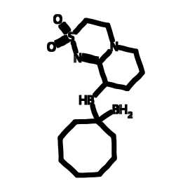 BC1(BC2CCCN3CCS(=O)(=O)N=C23)CCCCCCC1